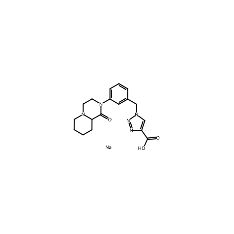 O=C(O)c1cn(Cc2cccc(N3CCN4CCCCC4C3=O)c2)nn1.[Na]